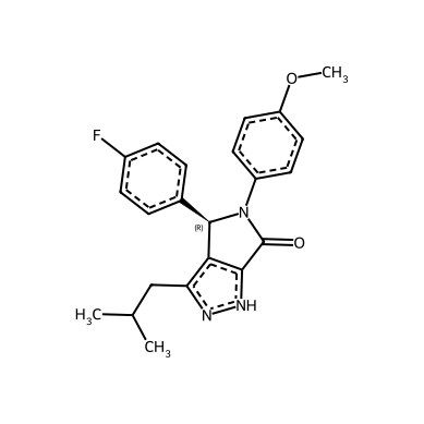 COc1ccc(N2C(=O)c3[nH]nc(CC(C)C)c3[C@H]2c2ccc(F)cc2)cc1